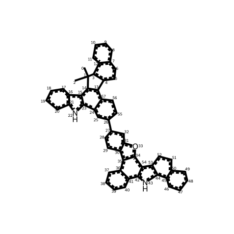 CC1(C)c2c(ccc3ccccc23)-c2c1c1c3ccccc3[nH]c1c1cc(-c3ccc4c(c3)oc3c4c4ccccc4c4[nH]c5c6ccccc6ccc5c43)ccc21